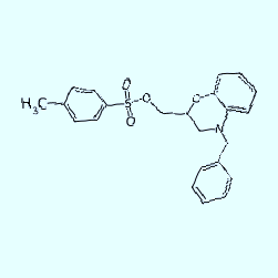 Cc1ccc(S(=O)(=O)OCC2CN(Cc3ccccc3)c3ccccc3O2)cc1